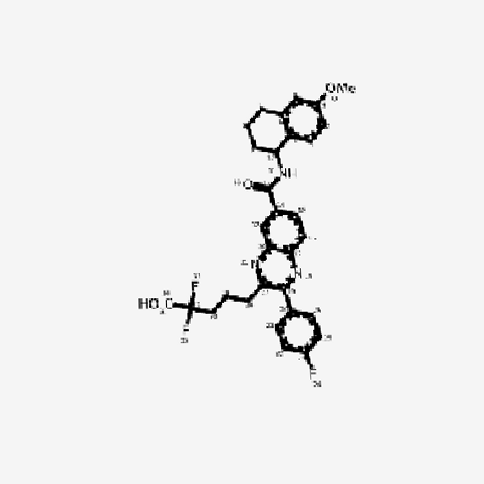 COc1ccc2c(c1)CCCC2NC(=O)c1ccc2nc(-c3ccc(F)cc3)c(CCCC(F)(F)C(=O)O)nc2c1